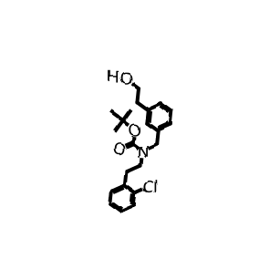 CC(C)(C)OC(=O)N(CCc1ccccc1Cl)Cc1cccc(CCO)c1